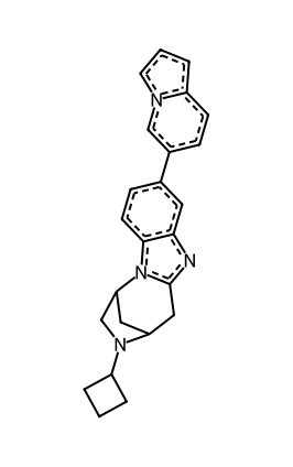 c1cc2ccc(-c3ccc4c(c3)nc3n4C4CC(C3)N(C3CCC3)C4)cn2c1